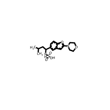 CC(C)CC(NS(=O)(=O)O)c1ccc2oc(N3CCOCC3)cc2c1